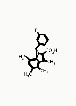 Cc1cc([SiH3])c2c(c1C)c(C)c(C(=O)O)n2Cc1cccc(F)c1